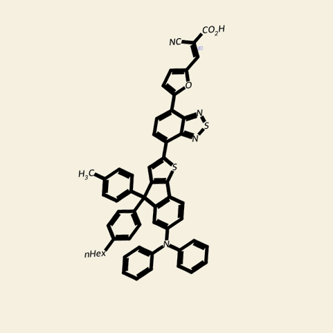 CCCCCCc1ccc(C2(c3ccc(C)cc3)c3cc(N(c4ccccc4)c4ccccc4)ccc3-c3sc(-c4ccc(-c5ccc(/C=C(\C#N)C(=O)O)o5)c5nsnc45)cc32)cc1